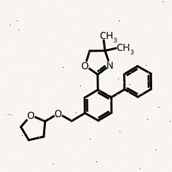 CC1(C)COC(c2cc(COC3CCCO3)ccc2-c2ccccc2)=N1